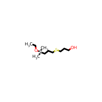 CCO[Si](C)(C)CCCSCCCO